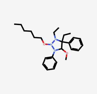 CCCCCCON1N(c2ccccc2)C(OC)C(CC)(c2ccccc2)N1CC